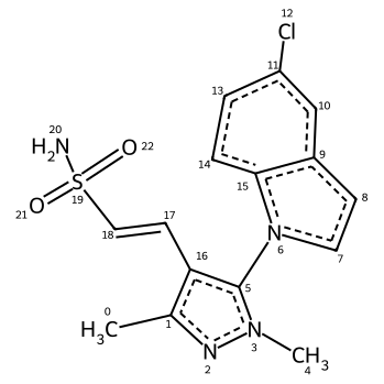 Cc1nn(C)c(-n2ccc3cc(Cl)ccc32)c1C=CS(N)(=O)=O